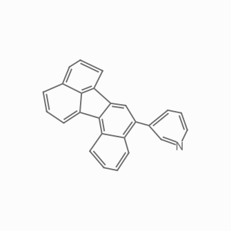 c1cncc(-c2cc3c(c4ccccc24)-c2cccc4cccc-3c24)c1